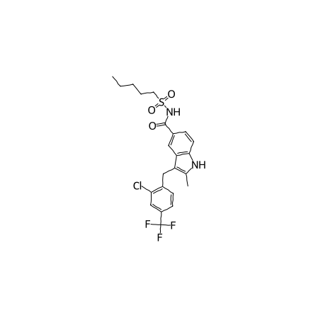 CCCCCS(=O)(=O)NC(=O)c1ccc2[nH]c(C)c(Cc3ccc(C(F)(F)F)cc3Cl)c2c1